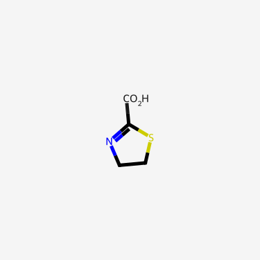 O=C(O)C1=NCCS1